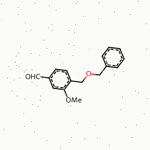 COc1cc(C=O)ccc1COCc1ccccc1